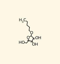 CCCCCOC1O[C@H](CO)[C@H](O)[C@H]1O